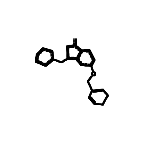 C1=CC(COc2ccc3[nH]cc(Cc4ccccc4)c3c2)=CCC1